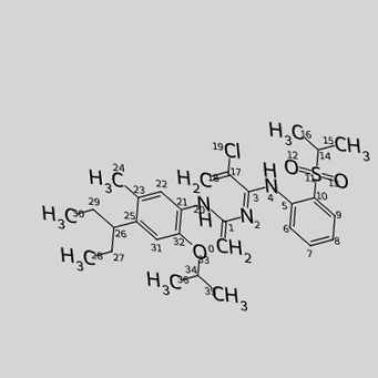 C=C(/N=C(/Nc1ccccc1S(=O)(=O)C(C)C)C(=C)Cl)Nc1cc(C)c(C(CC)CC)cc1OC(C)C